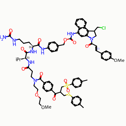 COCCOCCN(CCC(=O)N[C@H](C(=O)N[C@@H](CCCNC(N)=O)C(=O)Nc1ccc(COC(=O)Nc2cc3c(c4ccccc24)C(CCl)CN3C(=O)/C=C/c2ccc(OC)cc2)cc1)C(C)C)C(=O)c1ccc(C(=O)C(CSc2ccc(C)cc2)CS(=O)(=O)c2ccc(C)cc2)cc1